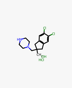 CC1(CN2CCNCC2)Cc2cc(Cl)c(Cl)cc2C1.Cl.Cl